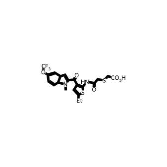 CCc1cc(C(=O)C2=CC3C=C(OC(F)(F)F)C=CC3N2C)c(NC(=O)CSCC(=O)O)s1